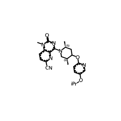 CC(C)Oc1ccc(OC2C[C@H](C)N(c3nc(=O)n(C)c4ccc(C#N)nc34)C[C@@H]2C)nc1